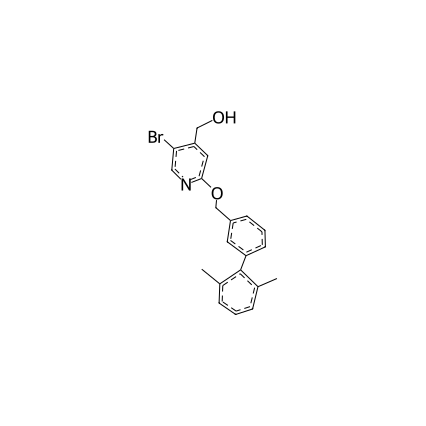 Cc1cccc(C)c1-c1cccc(COc2cc(CO)c(Br)cn2)c1